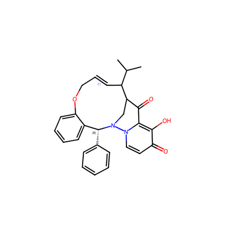 CC(C)C1/C=C/COc2ccccc2[C@@H](c2ccccc2)N2CC1C(=O)c1c(O)c(=O)ccn12